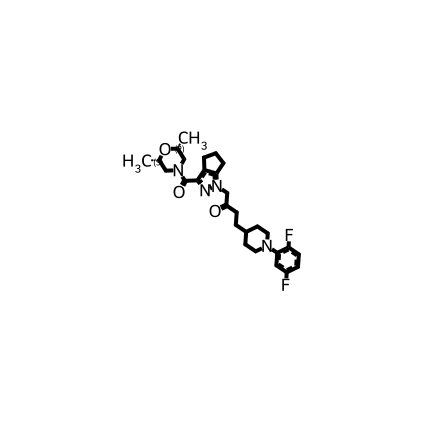 C[C@@H]1CN(C(=O)c2nn(CC(=O)CCC3CCN(c4cc(F)ccc4F)CC3)c3c2CCC3)C[C@H](C)O1